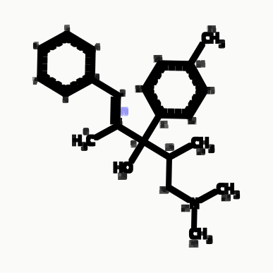 C/C(=C\c1ccccc1)C(O)(c1ccc(C)cc1)C(C)CN(C)C